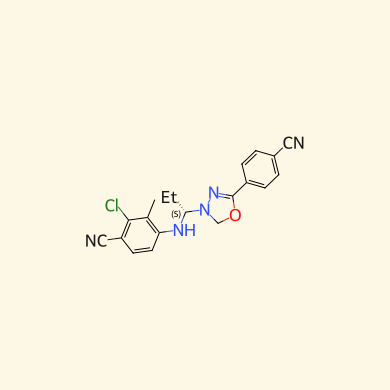 CC[C@@H](Nc1ccc(C#N)c(Cl)c1C)N1COC(c2ccc(C#N)cc2)=N1